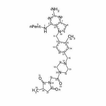 CCCCCNc1nc(N)nc2ccn(Cc3ccc(CN4CCN(C(=O)CN5C(=O)CC(C)C5=O)CC4)cc3C)c12